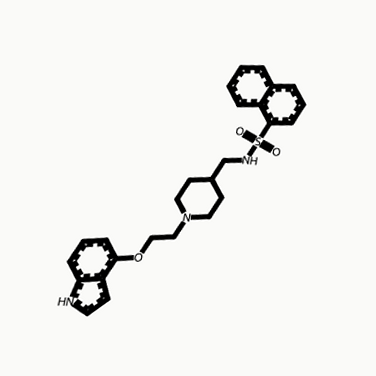 O=S(=O)(NCC1CCN(CCOc2cccc3[nH]ccc23)CC1)c1cccc2ccccc12